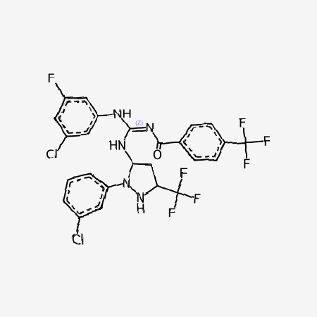 O=C(/N=C(/Nc1cc(F)cc(Cl)c1)NC1CC(C(F)(F)F)NN1c1cccc(Cl)c1)c1ccc(C(F)(F)F)cc1